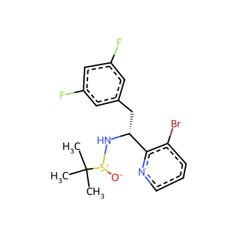 CC(C)(C)[S+]([O-])N[C@H](Cc1cc(F)cc(F)c1)c1ncccc1Br